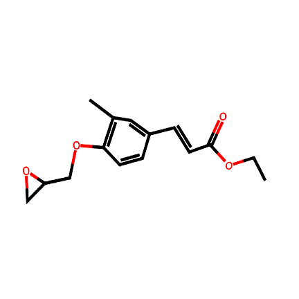 CCOC(=O)/C=C/c1ccc(OCC2CO2)c(C)c1